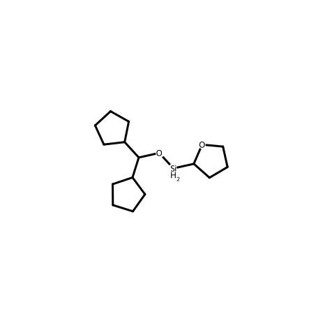 C1COC([SiH2]OC(C2CCCC2)C2CCCC2)C1